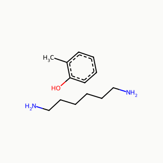 Cc1ccccc1O.NCCCCCCN